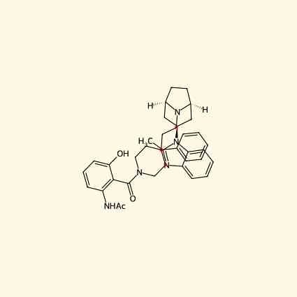 CC(=O)Nc1cccc(O)c1C(=O)N1CCC(CCN2[C@@H]3CC[C@H]2C[C@@H](n2c(C)nc4ccccc42)C3)(c2ccccc2)CC1